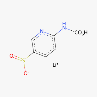 O=C(O)Nc1ccc(S(=O)[O-])cn1.[Li+]